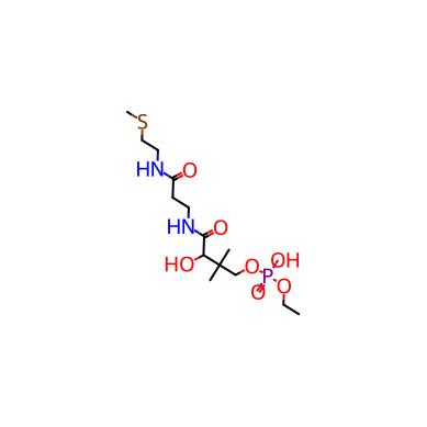 CCOP(=O)(O)OCC(C)(C)C(O)C(=O)NCCC(=O)NCCSC